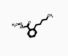 CCCCCc1ccccc1C(=O)NOC